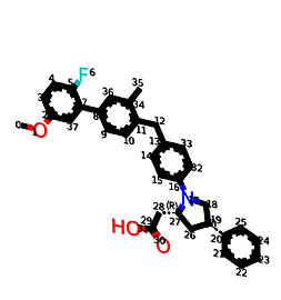 COc1ccc(F)c(-c2ccc(Cc3ccc(N4C[C@H](c5ccccc5)C[C@@H]4CC(=O)O)cc3)c(C)c2)c1